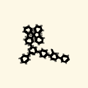 Cc1nc(-c2ccccc2)ccc1-c1ccc(-c2cc(-c3ccc4c(c3)C3(c5ccccc5-c5ccccc53)c3ccccc3-4)nc(-c3ccccc3)n2)cc1